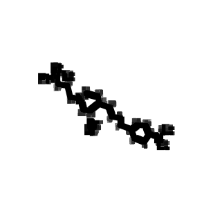 CCN(CC)c1ccc(C=CC=Cc2cc[n+](CCC[N+](CC)(CC)CC)cc2)cc1.[Br-].[Br-]